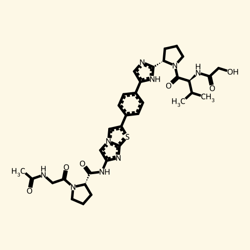 CC(=O)NCC(=O)N1CCC[C@H]1C(=O)Nc1cn2cc(-c3ccc(-c4cnc([C@@H]5CCCN5C(=O)[C@@H](NC(=O)CO)C(C)C)[nH]4)cc3)sc2n1